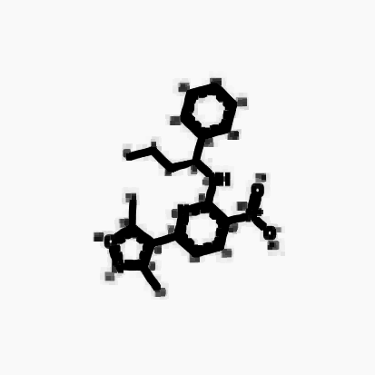 CCC[C@H](Nc1nc(-c2c(C)noc2C)ccc1[N+](=O)[O-])c1ccccc1